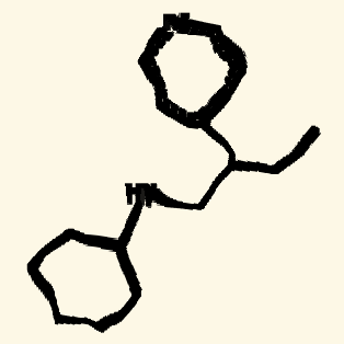 CCC(CNC1CCCCC1)c1ccncc1